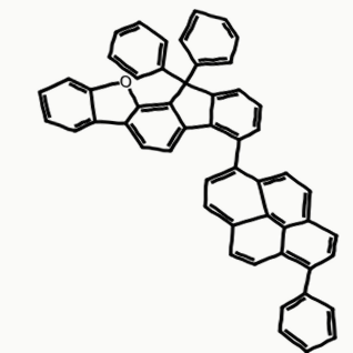 c1ccc(-c2ccc3ccc4c(-c5cccc6c5-c5ccc7c(oc8ccccc87)c5C6(c5ccccc5)c5ccccc5)ccc5ccc2c3c54)cc1